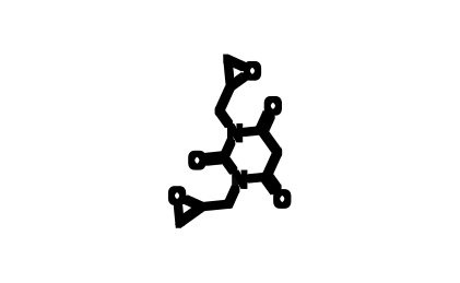 O=C1CC(=O)N(CC2CO2)C(=O)N1CC1CO1